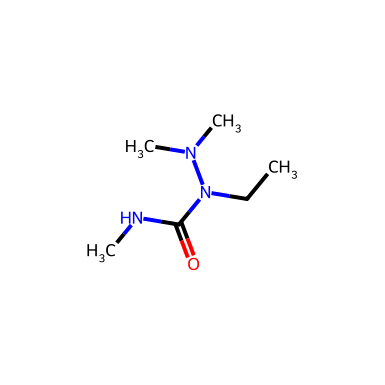 CCN(C(=O)NC)N(C)C